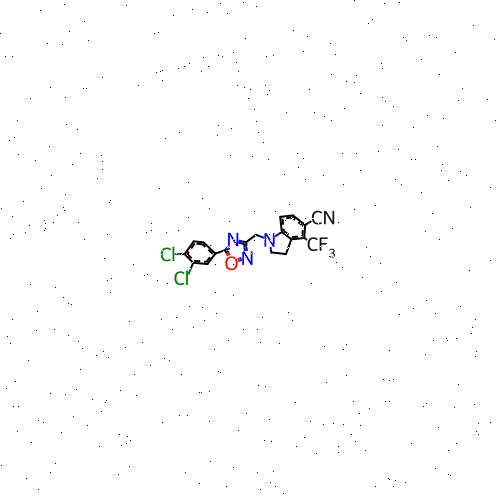 N#Cc1ccc2c(c1C(F)(F)F)CCN2Cc1noc(-c2ccc(Cl)c(Cl)c2)n1